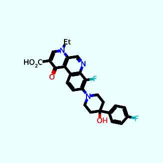 CCn1cc(C(=O)O)c(=O)c2c3ccc(N4CCC(O)(c5ccc(F)cc5)CC4)c(F)c3ncc21